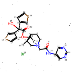 O=C(C[N+]12CCC(CC1)[C@@H](OC(=O)C(O)(c1ccsc1)c1ccsc1)C2)Nc1cncnc1.[Br-]